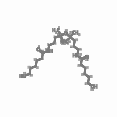 C[Si](C)(CCCNC(=O)CCCCCO)O[Si](C)(C)CCCNC(=O)CCCCCO